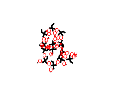 CCCCOCC(CC)(COC)COCC(CC)(COC)COCC(CC)(COC)COCC(CC)(COC)COCC(CC)(COC)COCC(CC)(COC)COCC(CC)(COC)COCC(CC)(COC)COCC(CC)(COC)COCC(CC)(COC)COCC(CC)(COC)COCC(CC)(COC)COCC(CC)(CO)COC